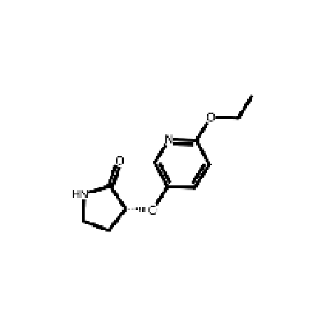 CCOc1ccc(O[C@@H]2CCNC2=O)cn1